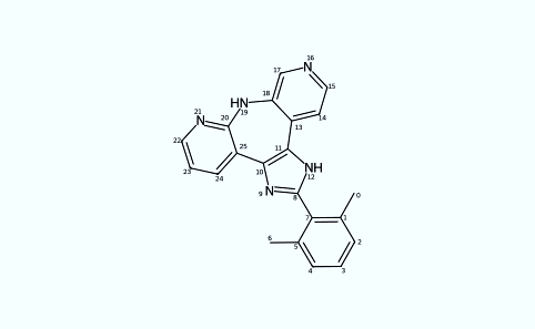 Cc1cccc(C)c1-c1nc2c([nH]1)-c1ccncc1Nc1ncccc1-2